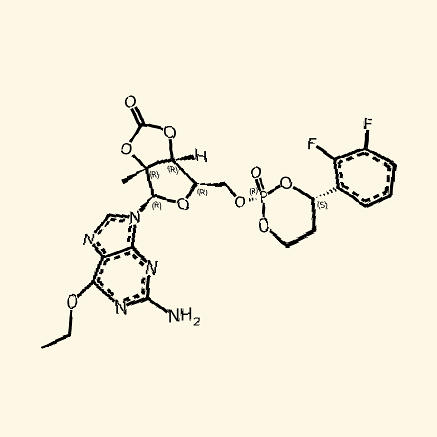 CCOc1nc(N)nc2c1ncn2[C@@H]1O[C@H](CO[P@@]2(=O)OCC[C@@H](c3cccc(F)c3F)O2)[C@H]2OC(=O)O[C@]21C